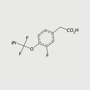 CC(C)C(F)(F)Oc1ccc(CC(=O)O)cc1F